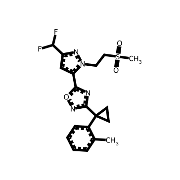 Cc1ccccc1C1(c2noc(-c3cc(C(F)F)nn3CCS(C)(=O)=O)n2)CC1